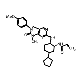 C=CC(=O)N[C@H]1CC(C2CCCC2)CC[C@H]1Nc1ncc2c(n1)N(C)C(=O)N(c1ccc(OC)cc1)C2